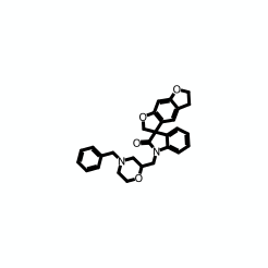 O=C1N(CC2CN(Cc3ccccc3)CCO2)c2ccccc2C12COc1cc3c(cc12)CCO3